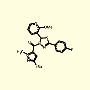 COc1ncccc1C1SC(c2ccc(F)cc2)=NN1C(=O)c1cc(C(C)(C)C)nn1C